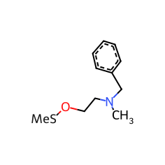 CSOCCN(C)Cc1ccccc1